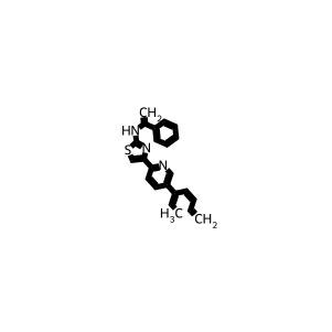 C=C/C=C\C(=C/C)c1ccc(-c2csc(NC(=C)c3ccccc3)n2)nc1